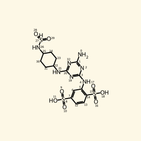 Nc1nc(Nc2cc(S(=O)(=O)O)ccc2S(=O)(=O)O)nc(NC2CCC(N[SH](=O)=O)CC2)n1